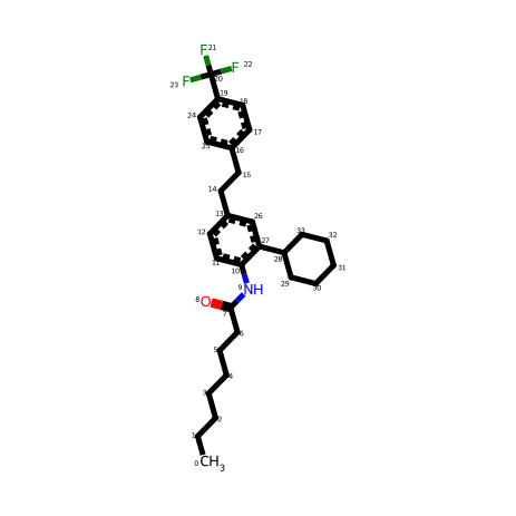 CCCCCCCC(=O)Nc1ccc(CCc2ccc(C(F)(F)F)cc2)cc1C1CCCCC1